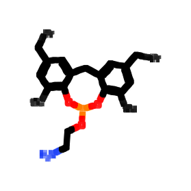 CC(C)Cc1cc2c(c(C(C)(C)C)c1)OP(OCCN)Oc1c(cc(CC(C)C)cc1C(C)(C)C)C2